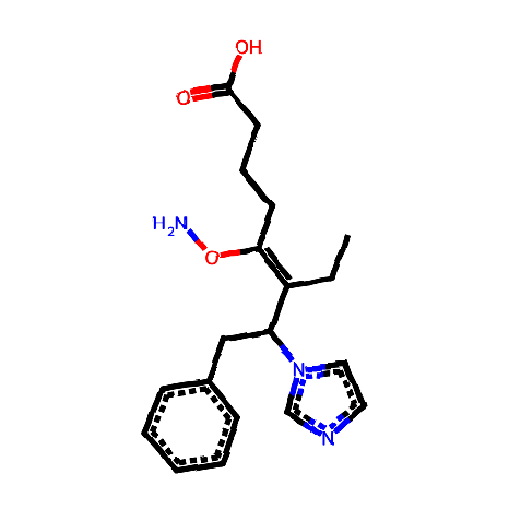 CCC(=C(CCCC(=O)O)ON)C(Cc1ccccc1)n1ccnc1